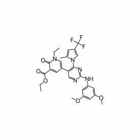 CCOC(=O)c1cc(-c2cnc(Nc3cc(OC)cc(OC)c3)nc2-n2cc(C(F)(F)F)cc2C)cn(CC)c1=O